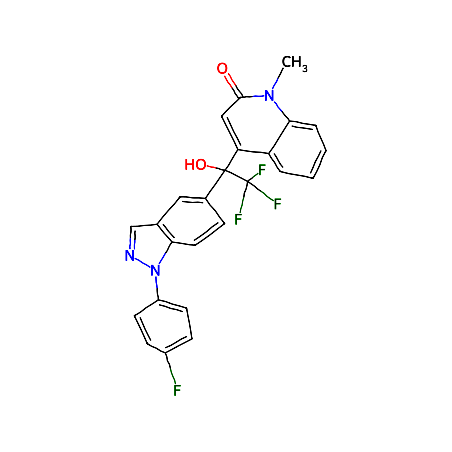 Cn1c(=O)cc(C(O)(c2ccc3c(cnn3-c3ccc(F)cc3)c2)C(F)(F)F)c2ccccc21